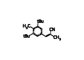 C/C(C#N)=C/c1cc(C(C)(C)C)c(C)c(C(C)(C)C)c1